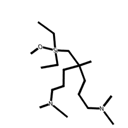 CC[Si](CC)(CC(C)(CCCN(C)C)CCCN(C)C)OC